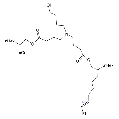 CC/C=C/CCCCC(CCCCCC)COC(=O)CCCN(CCCCO)CCCC(=O)OCC(CCCCCC)CCCCCCCC